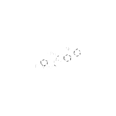 CCCCC(=O)N(Cc1ccc(-c2ccccc2C#N)cc1)[C@@H](Cc1ccc(F)cc1)C(=O)OC